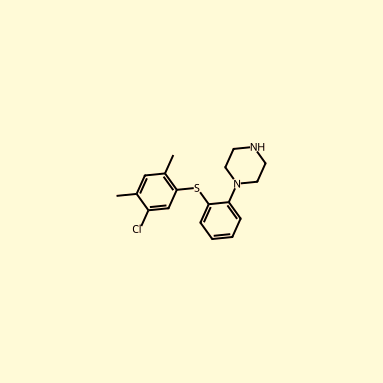 Cc1cc(C)c(Sc2ccccc2N2CCNCC2)cc1Cl